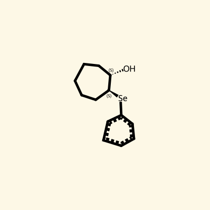 O[C@H]1CCCCC[C@@H]1[Se]c1ccccc1